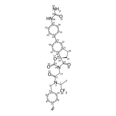 CC(N(Cc1ccc(F)cc1)C(=O)CN1C(=O)O[C@@]2(CCc3cc(-c4ccc(NC(N)=O)cc4)ccc32)C1=O)C(F)(F)F